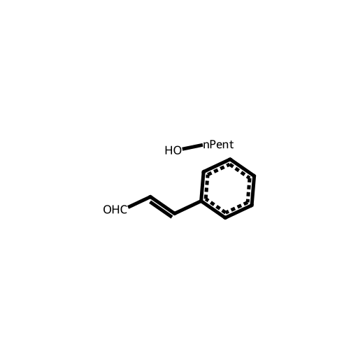 CCCCCO.O=CC=Cc1ccccc1